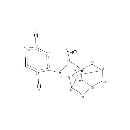 O=CC(Sc1cc(Cl)ccc1Cl)C12CC3CC(CC(C3)C1)C2